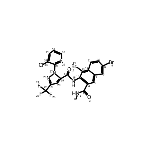 CNC(=O)c1cc2cc(Br)ccc2c(Br)c1NC(=O)c1cc(C(F)(F)F)nn1-c1ncccc1Cl